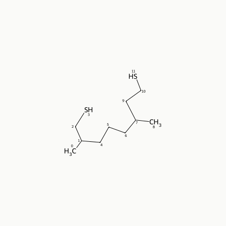 CC(CS)CCCC(C)CCS